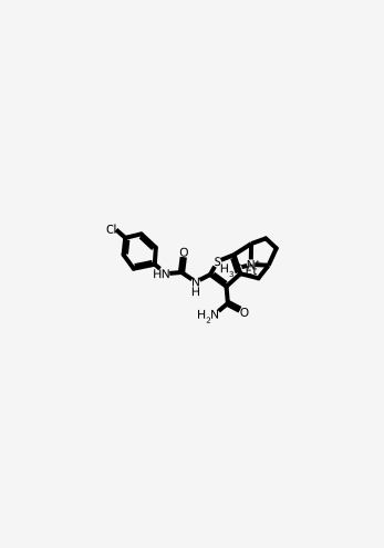 CC[N+]1(C)C2CCC1c1sc(NC(=O)Nc3ccc(Cl)cc3)c(C(N)=O)c1C2